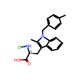 Cc1ccc(Cn2c(C)c(C[C@H](NCl)C(=O)O)c3ccccc32)cc1